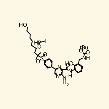 CC(C)(C)OC(=O)NCc1cccc(NC(=O)c2nc(-c3ccc(S(=O)(=O)C(C)(C)CC(CCCCCCO)OPI)cc3)cnc2N)c1O